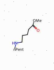 CCCCCNCCCCC(=O)OC